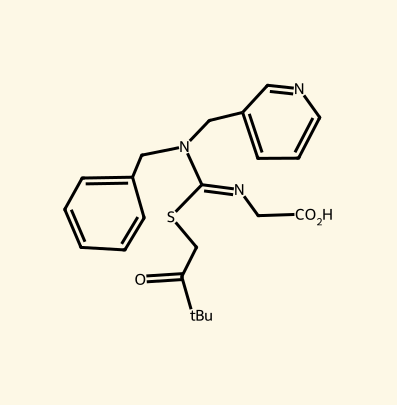 CC(C)(C)C(=O)CS/C(=N\CC(=O)O)N(Cc1ccccc1)Cc1cccnc1